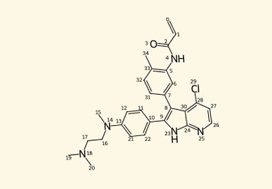 C=CC(=O)Nc1cc(-c2c(-c3ccc(N(C)CCN(C)C)cc3)[nH]c3nccc(Cl)c23)ccc1C